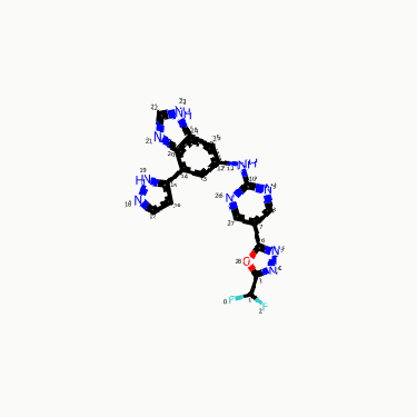 FC(F)c1nnc(-c2cnc(Nc3cc(-c4ccn[nH]4)c4nc[nH]c4c3)nc2)o1